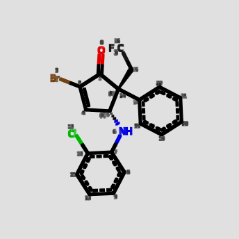 O=C1C(Br)=C[C@@H](Nc2ccccc2Cl)[C@@]1(CC(F)(F)F)c1ccccc1